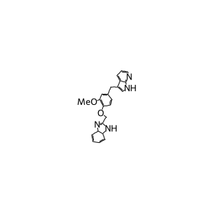 COc1cc(Cc2c[nH]c3ncccc23)ccc1OCC1=NC2C=CC=CC2N1